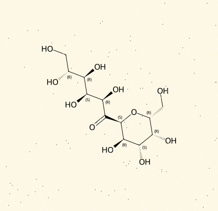 O=C([C@H]1O[C@H](CO)[C@H](O)[C@H](O)[C@H]1O)[C@H](O)[C@@H](O)[C@H](O)[C@H](O)CO